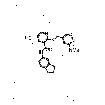 CNc1cc(CSc2ncccc2C(=O)Nc2ccc3c(c2)CCC3)ccn1.Cl